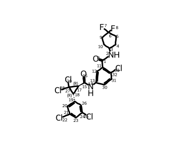 O=C(NC1CCC(F)(F)CC1)c1cc(NC(=O)[C@H]2[C@H](c3cc(Cl)cc(Cl)c3)C2(Cl)Cl)ccc1Cl